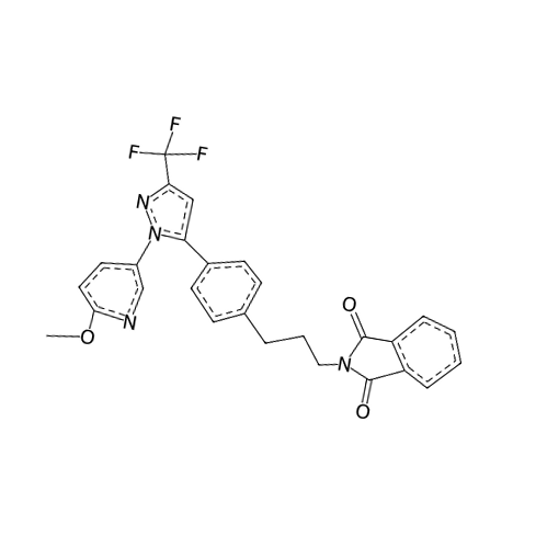 COc1ccc(-n2nc(C(F)(F)F)cc2-c2ccc(CCCN3C(=O)c4ccccc4C3=O)cc2)cn1